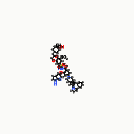 CC(C)c1ccccc1[C@@H]1CCCN1C1CC2(CCN(c3ccc(C(=O)NS(=O)(=O)c4cc5c(c([N+](=O)[O-])c4)O[C@H](C[C@H]4CC[C@](C)(O)CC4)CO5)c(Oc4cnc5[nH]ccc5c4)c3)CC2)C1